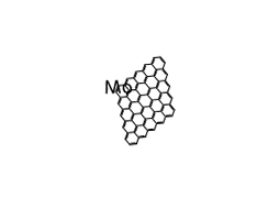 [Mo].c1cc2cc3cc4cc5ccc6cc7cc8cc9cccc%10cc%11cc%12cc%13ccc%14cc%15cc%16cc(c1)c2c1c3c2c4c3c5c6c4c7c5c8c(c9%10)c%11c6c%12c7c%13c%14c8c%15c(c%161)c2c1c3c4c(c56)c7c81